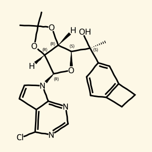 CC1(C)O[C@@H]2[C@H](O1)[C@@H]([C@@](C)(O)c1ccc3c(c1)CC3)O[C@H]2n1ccc2c(Cl)ncnc21